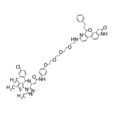 Cc1sc2c(c1C)C(c1ccc(Cl)cc1)=N[C@@H](CC(=O)Nc1ccc(OCCOCCOCCOCCNc3ccc(-c4ccc5c(c4)CC(=O)N5)c(C(=O)CCc4ccccc4)n3)cc1)c1nnc(C)n1-2